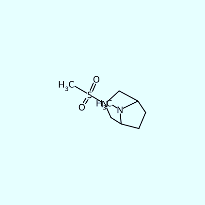 CN1C2CCC1CN(S(C)(=O)=O)C2